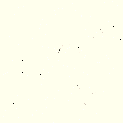 CCCC(=O)N1CCC2(CC1)C[C@H](NC(=O)c1cccc3cn[nH]c13)c1cc(Br)ccc1O2